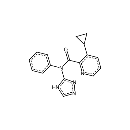 O=C(c1ncccc1C1CC1)N(c1ccccc1)c1nnc[nH]1